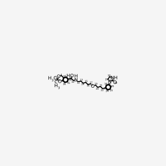 CC1(C)OCc2cc([C@H](O)CNCCCCCCOCCCCc3cccc(N4CCNC4=O)c3)ccc2O1